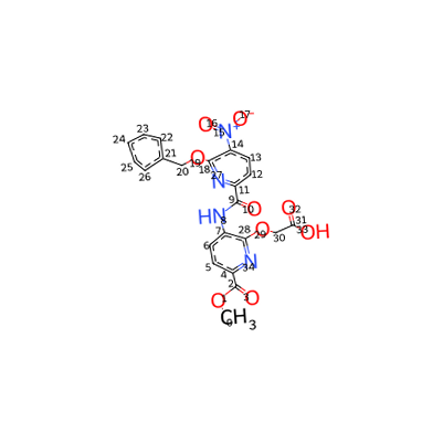 COC(=O)c1ccc(NC(=O)c2ccc([N+](=O)[O-])c(OCc3ccccc3)n2)c(OCC(=O)O)n1